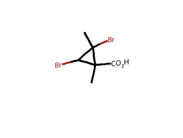 CC1(Br)C(Br)C1(C)C(=O)O